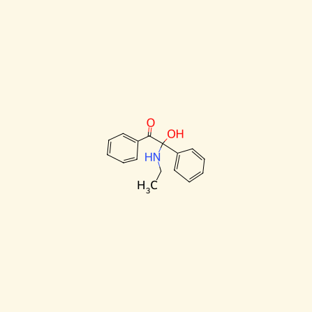 CCNC(O)(C(=O)c1ccccc1)c1ccccc1